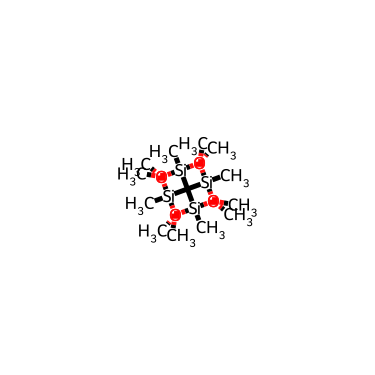 CO[Si](C)(OC)C([Si](C)(OC)OC)([Si](C)(OC)OC)[Si](C)(OC)OC